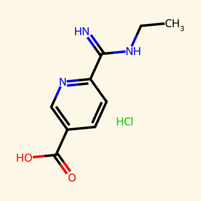 CCNC(=N)c1ccc(C(=O)O)cn1.Cl